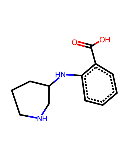 O=C(O)c1ccccc1NC1CCCNC1